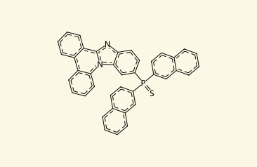 S=P(c1ccc2ccccc2c1)(c1ccc2ccccc2c1)c1ccc2nc3c4ccccc4c4ccccc4n3c2c1